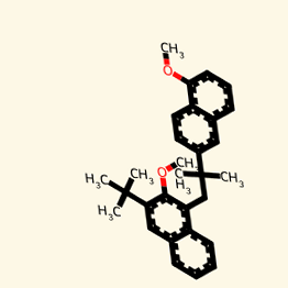 COc1c(C(C)(C)C)cc2ccccc2c1CC(C)(C)c1ccc2c(OC)cccc2c1